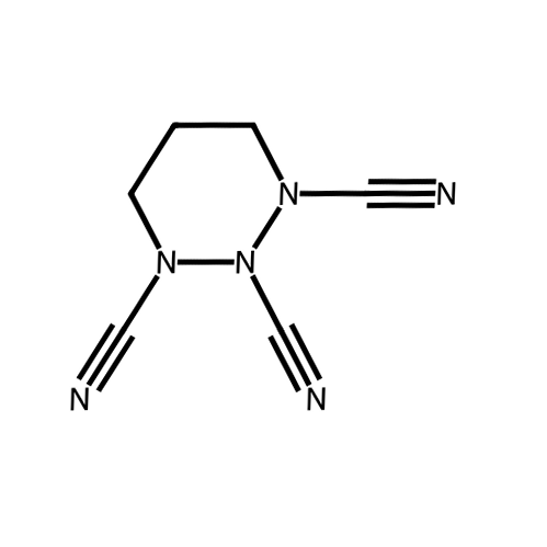 N#CN1CCCN(C#N)N1C#N